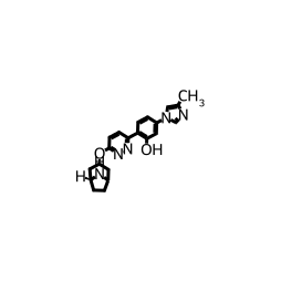 Cc1cn(-c2ccc(-c3ccc(O[C@H]4CC5CC[C@H](C4)N5)nn3)c(O)c2)cn1